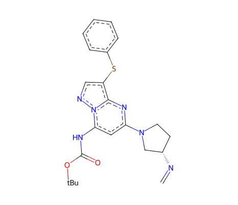 C=N[C@H]1CCN(c2cc(NC(=O)OC(C)(C)C)n3ncc(Sc4ccccc4)c3n2)C1